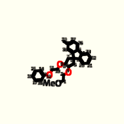 COCCOCCC1(CCOCCOc2ccccc2)c2ccccc2-c2ccc(C)cc21